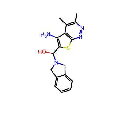 Cc1nnc2sc(C(O)N3Cc4ccccc4C3)c(N)c2c1C